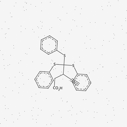 C#CC(CC(=O)O)C(Sc1ccccc1)(Sc1ccccc1)Sc1ccccc1